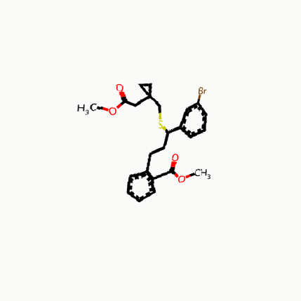 COC(=O)CC1(CSC(CCc2ccccc2C(=O)OC)c2cccc(Br)c2)CC1